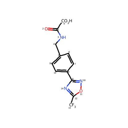 O=C(O)C(=O)NCc1ccc(-c2noc(C(F)(F)F)n2)cc1